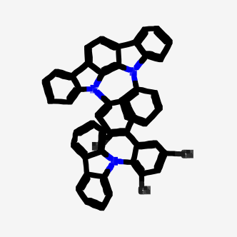 N#Cc1cc(C#N)c(-n2c3ccccc3c3ccccc32)c(-c2ccc(-n3c4ccccc4c4ccc5c6ccccc6n(-c6ccccc6)c5c43)cc2C#N)c1